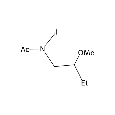 CCC(CN(I)C(C)=O)OC